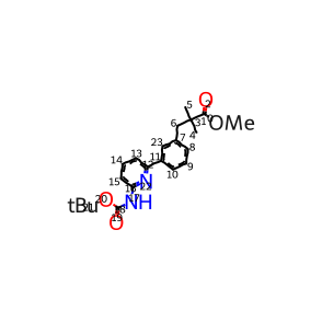 COC(=O)C(C)(C)Cc1cccc(-c2cccc(NC(=O)OC(C)(C)C)n2)c1